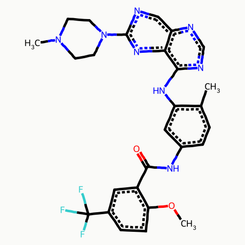 COc1ccc(C(F)(F)F)cc1C(=O)Nc1ccc(C)c(Nc2ncnc3cnc(N4CCN(C)CC4)nc23)c1